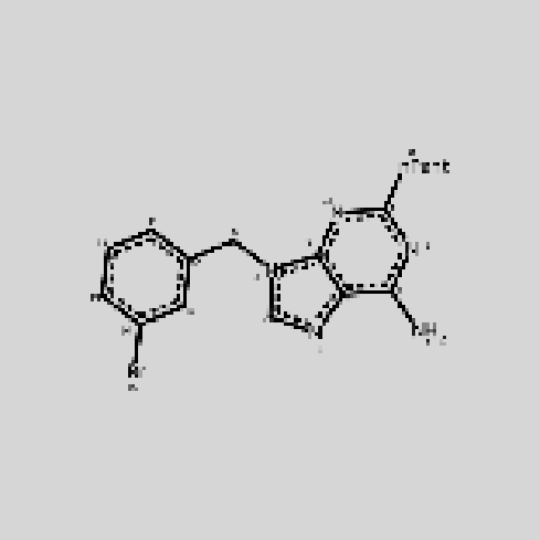 CCCCCc1nc(N)c2ncn(Cc3cccc(Br)c3)c2n1